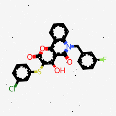 O=c1oc2c(c(O)c1Sc1cccc(Cl)c1)c(=O)n(Cc1cccc(F)c1)c1ccccc21